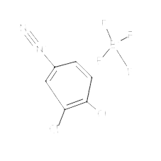 F[B-](F)(F)F.N#[N+]c1ccc(Cl)c(Cl)c1